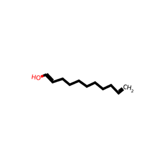 C=CCCCCCCCC=CO